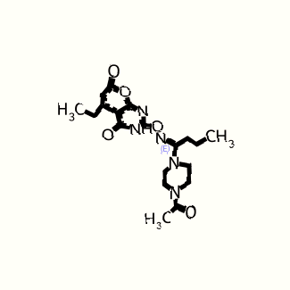 CCC/C(=N\Oc1nc2oc(=O)cc(CC)c2c(=O)[nH]1)N1CCN(C(C)=O)CC1